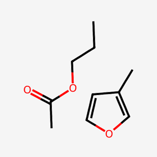 CCCOC(C)=O.Cc1ccoc1